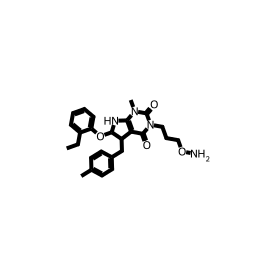 CCc1ccccc1OC1Nc2c(c(=O)n(CCCON)c(=O)n2C)C1Cc1ccc(C)cc1